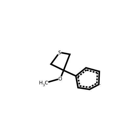 COC1(c2cc[c]cc2)CSC1